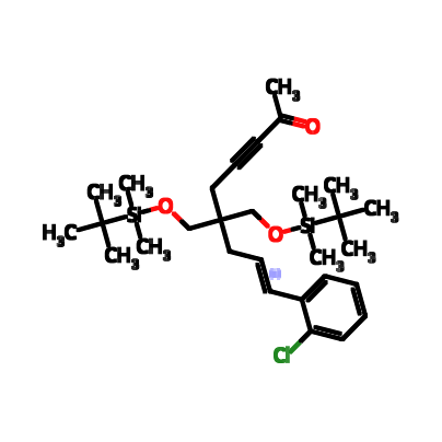 CC(=O)C#CCC(C/C=C/c1ccccc1Cl)(CO[Si](C)(C)C(C)(C)C)CO[Si](C)(C)C(C)(C)C